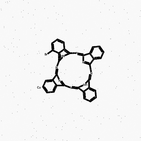 Brc1cccc2c3nc4nc(nc5[nH]c(nc6nc(nc([nH]3)c12)-c1ccccc1-6)c1ccccc51)-c1ccccc1-4.[Cu]